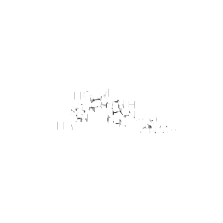 CNS(=O)(=O)CCNc1ncnc2c1ncn2[C@@H]1O[C@H](c2nc(C)no2)[C@@H](O)[C@@H]1O